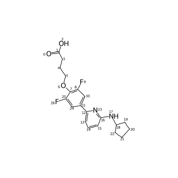 O=C(O)CCCOc1c(F)cc(-c2cccc(NC3CCCC3)n2)cc1F